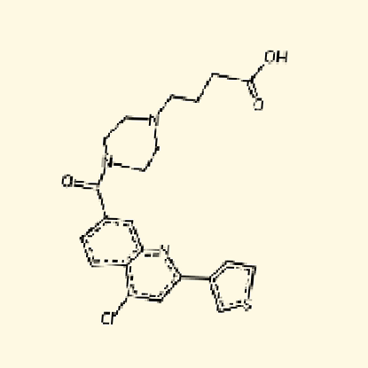 O=C(O)CCCN1CCN(C(=O)c2ccc3c(Cl)cc(-c4ccsc4)nc3c2)CC1